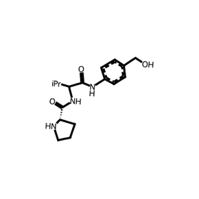 CC(C)C(NC(=O)[C@@H]1CCCN1)C(=O)Nc1ccc(CO)cc1